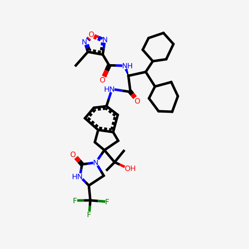 Cc1nonc1C(=O)N[C@H](C(=O)Nc1ccc2c(c1)CC(N1CC(C(F)(F)F)NC1=O)(C(C)(C)O)C2)C(C1CCCCC1)C1CCCCC1